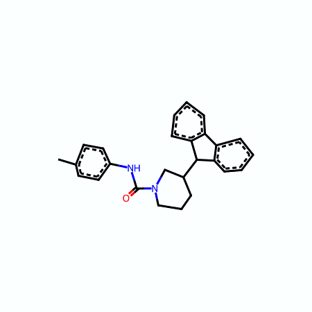 Cc1ccc(NC(=O)N2CCCC(C3c4ccccc4-c4ccccc43)C2)cc1